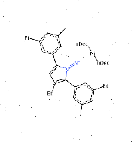 CCC1=C(c2cc(C)cc(CC)c2)[N+](=[N-])C(c2cc(C)cc(CC)c2)=C1.CCCCCCCCC[CH2][Ni][CH2]CCCCCCCCC